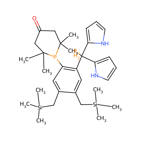 CC1(C)CC(=O)CC(C)(C)P1c1cc(C[Si](C)(C)C)c(C[Si](C)(C)C)cc1C(P)(c1ccc[nH]1)c1ccc[nH]1